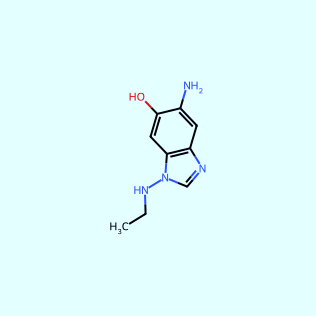 CCNn1cnc2cc(N)c(O)cc21